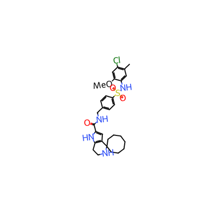 COc1cc(Cl)c(C)cc1NS(=O)(=O)c1ccc(CNC(=O)c2cc3c([nH]2)CCNC32CCCCCCC2)cc1